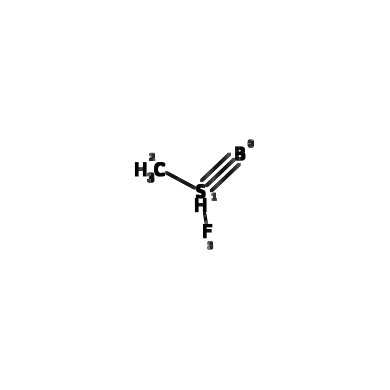 B#[SH](C)F